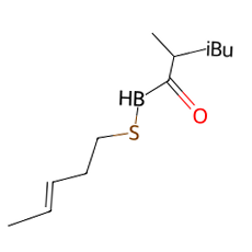 CC=CCCSBC(=O)C(C)C(C)CC